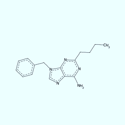 CCCCc1nc(N)c2ncn(Cc3ccccc3)c2n1